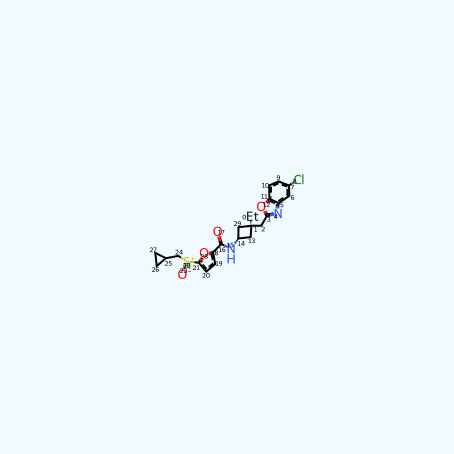 CC[C@]1(Cc2nc3cc(Cl)ccc3o2)C[C@@H](NC(=O)c2ccc([S@@+]([O-])CC3CC3)o2)C1